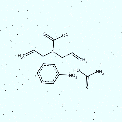 C=CCN(CC=C)C(O)=S.NC(O)=S.O=[N+]([O-])c1ccccc1